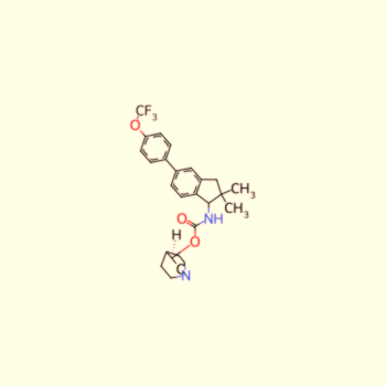 CC1(C)Cc2cc(-c3ccc(OC(F)(F)F)cc3)ccc2C1NC(=O)O[C@H]1CN2CCC1CC2